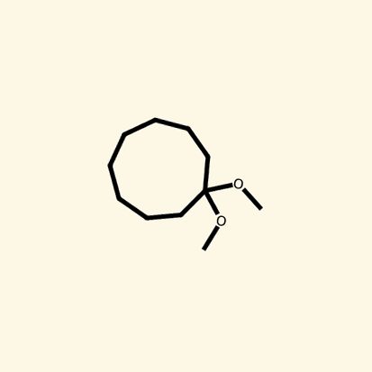 COC1(OC)CCCCCCCC1